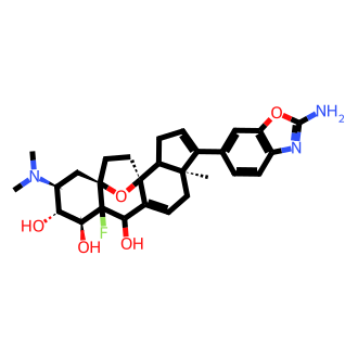 CN(C)[C@H]1C[C@@]23CC[C@@]4(O2)C(=CC[C@]2(C)C(c5ccc6nc(N)oc6c5)=CCC24)C(O)C3(F)[C@@H](O)[C@@H]1O